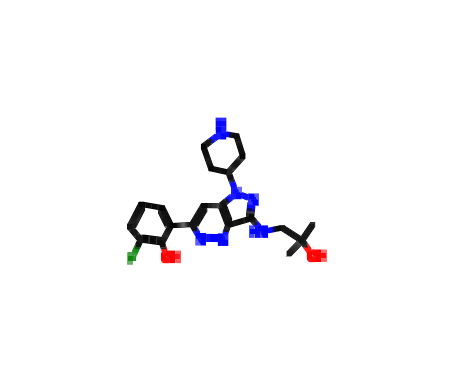 CC(C)(O)CNc1nn(C2CCNCC2)c2cc(-c3cccc(F)c3O)nnc12